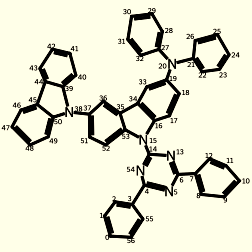 c1ccc(-c2nc(-c3ccccc3)nc(-n3c4ccc(N(c5ccccc5)c5ccccc5)cc4c4cc(-n5c6ccccc6c6ccccc65)ccc43)n2)cc1